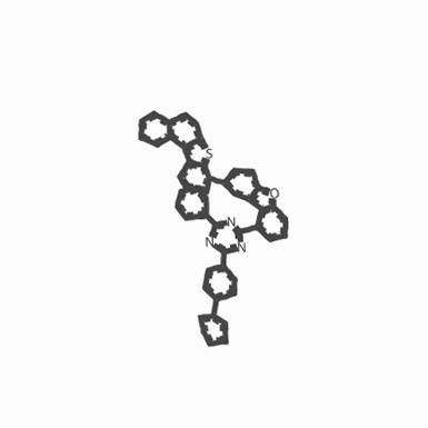 c1ccc(-c2ccc(-c3nc(-c4ccccc4)nc(-c4cccc5oc6ccc(-c7cccc8c7sc7ccc9ccccc9c78)cc6c45)n3)cc2)cc1